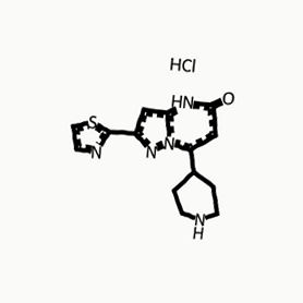 Cl.O=c1cc(C2CCNCC2)n2nc(-c3nccs3)cc2[nH]1